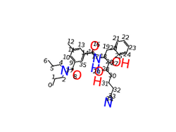 CCCN(CCC)C(=O)c1cc(C)cc(C(=O)NC(Cc2ccccc2)C(O)C(O)CCCC#N)c1